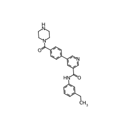 CCc1cccc(NC(=O)c2cncc(-c3ccc(C(=O)N4CCNCC4)cc3)c2)c1